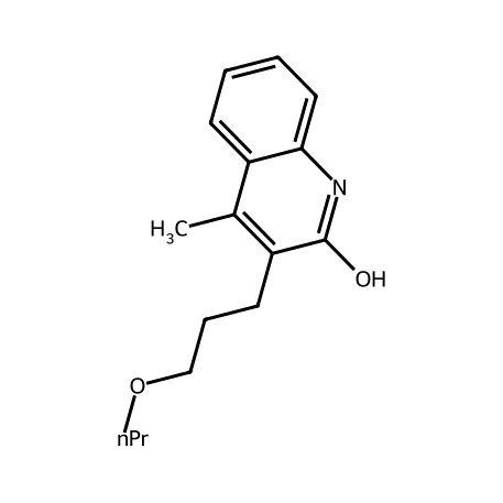 CCCOCCCc1c(O)nc2ccccc2c1C